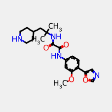 COc1cc(NC(=O)C(=O)NC(C)(C)CC2CCNCC2)ccc1-c1cnco1